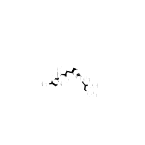 CC(C)c1cnc(NC(=O)Cc2csc(NCC(O)CO)n2)s1